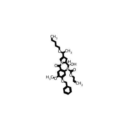 C=CCOC(=O)N1c2cc(OCc3ccccc3)c(OC)cc2C(=O)N2C=C(C(C)OCCCCC)C[C@H]2[C@@H]1O